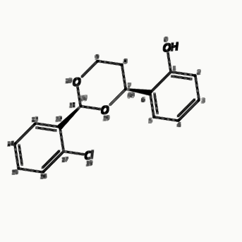 Oc1ccccc1[C@@H]1CCO[C@H](c2ccccc2Cl)O1